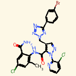 Cc1cc(Cl)cc(C(N)=O)c1NC(=O)c1c(Cn2nnc(-c3ccc(Br)cc3)n2)cnn1-c1ncccc1Cl